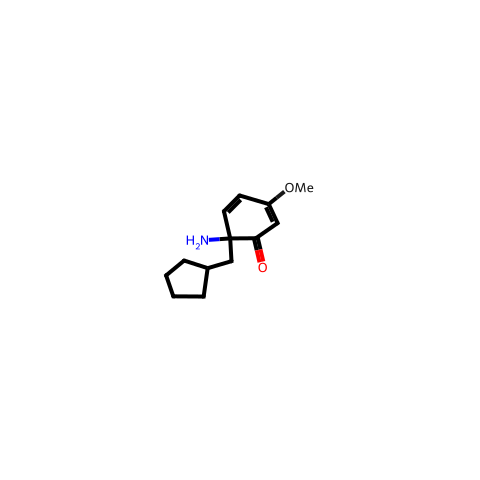 COC1=CC(=O)C(N)(CC2CCCC2)C=C1